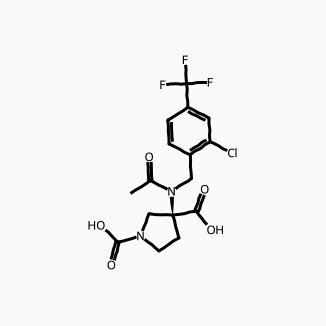 CC(=O)N(Cc1ccc(C(F)(F)F)cc1Cl)[C@@]1(C(=O)O)CCN(C(=O)O)C1